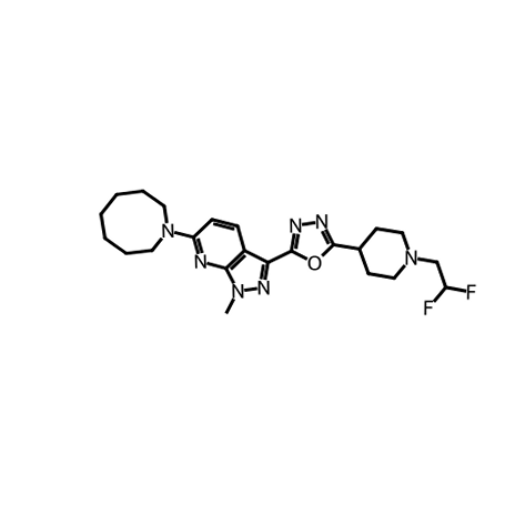 Cn1nc(-c2nnc(C3CCN(CC(F)F)CC3)o2)c2ccc(N3CCCCCCC3)nc21